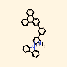 C=C(/C=C\C(=C/N)c1cccc(-c2ccc3c4ccccc4c4ccccc4c3c2)c1)n1c2ccccc2c2ccccc21